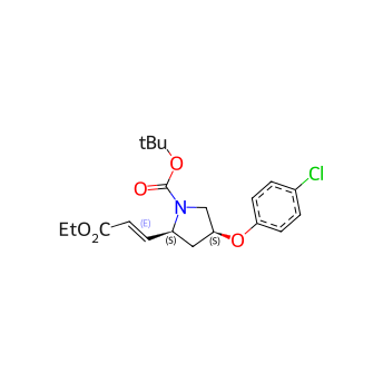 CCOC(=O)/C=C/[C@@H]1C[C@H](Oc2ccc(Cl)cc2)CN1C(=O)OC(C)(C)C